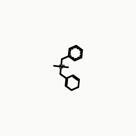 C[N+](C)(CC1=CCCC=C1)Cc1ccccc1